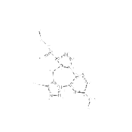 CCOC(=O)c1ncn2c1Cc1c(I)nnn1-c1cc(OC)ccc1-2